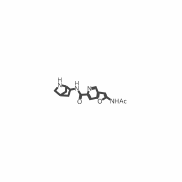 CC(=O)Nc1cc2cnc(C(=O)NC3CC4CNC3C4)cc2o1